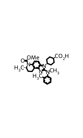 COC(=O)N1c2ccc3c(nc(N(C)c4ccccc4C)n3[C@H]3CC[C@H](C(=O)O)CC3)c2CC[C@@H]1C